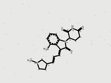 Nc1cccc2c1/C(=C\C=C\C1CCN(N)C1)C(=O)N2C1CCC(=O)NC1=O